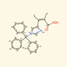 C/C(C(=O)O)=C(\C)c1cn(C(c2ccccc2)(c2ccccc2)c2ccccc2)cn1